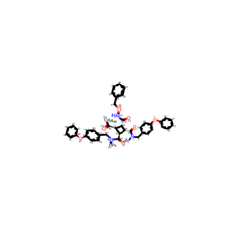 CCCN(Cc1ccc(Oc2ccccc2)cc1)C(=O)[C@H]1[C@@H](C(=O)NOCc2ccccc2)[C@H](C(=O)OC)[C@@H]1C(=O)N(CCC)Cc1ccc(Oc2ccccc2)cc1